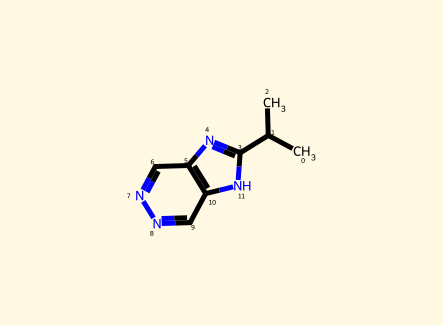 CC(C)c1nc2cnncc2[nH]1